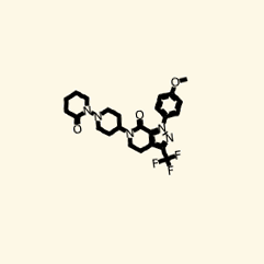 COc1ccc(-n2nc(C(F)(F)F)c3c2C(=O)N(C2CCN(N4CCCCC4=O)CC2)CC3)cc1